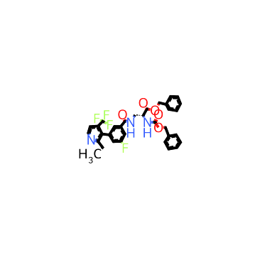 CCc1nccc(C(F)(F)F)c1-c1cc(F)cc(C(=O)NC[C@@H](NC(=O)OCc2ccccc2)C(=O)OCc2ccccc2)c1